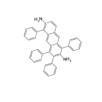 Nc1ccc2cc3c(-c4ccccc4)c(N)c(-c4ccccc4)c(-c4ccccc4)c3cc2c1-c1ccccc1